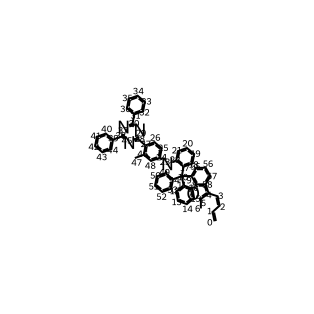 C=C/C=C\c1c(C)oc2c(C3(c4ccccc4)c4ccccc4N(c4ccc(-c5nc(-c6ccccc6)nc(-c6ccccc6)n5)c(C)c4)c4ccccc43)cccc12